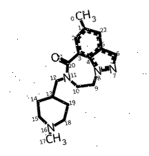 Cc1cc2c3c(cnn3CCN(CC3CCN(C)CC3)C2=O)c1